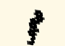 OCCOc1ccnc(Nc2cnc3nnn(Cc4ccc5ncccc5c4)c3n2)c1